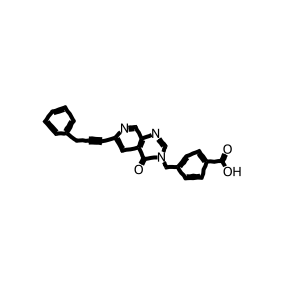 O=C(O)c1ccc(Cn2cnc3cnc(C#CCc4ccccc4)cc3c2=O)cc1